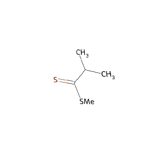 CSC(=S)C(C)C